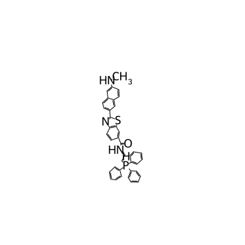 CNc1ccc2cc(-c3nc4ccc(C(=O)NCC[PH](c5ccccc5)(c5ccccc5)c5ccccc5)cc4s3)ccc2c1